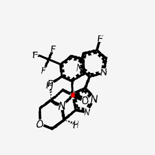 O=C(c1cccc(C(F)(F)F)c1F)N1[C@H]2COC[C@@H]1c1nnc(-c3ncc(F)cn3)n1C2